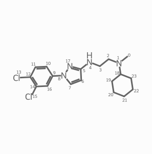 CN(CCNc1ccn(-c2ccc(Cl)c(Cl)c2)n1)C1CCCCC1